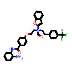 Nc1ccccc1NC(=O)c1ccc(OCC[N+](C=O)(CCc2ccc(C(F)(F)F)cc2)c2cc3ccccc3o2)cc1